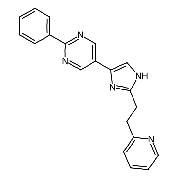 c1ccc(-c2ncc(-c3c[nH]c(CCc4ccccn4)n3)cn2)cc1